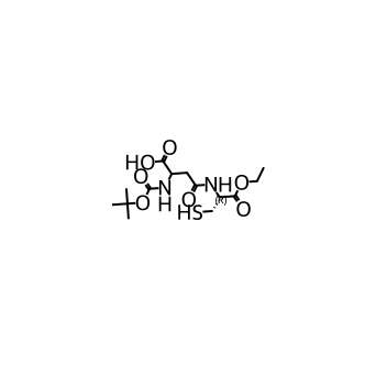 CCOC(=O)[C@H](CS)NC(=O)CC(NC(=O)OC(C)(C)C)C(=O)O